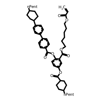 C=CC(=O)OCCCCCCOC(=O)c1cc(OC(=O)C2CCC(CCCCC)CC2)ccc1OC(=O)c1ccc(-c2ccc(C3CCC(CCCCC)CC3)cc2)cc1